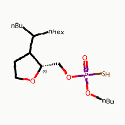 CCCCCCC(CCCC)C1CCO[C@H]1COP(=O)(S)OCCCC